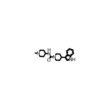 CN1CCC(NC(=O)N2CCC(c3c[nH]c4ccccc34)CC2)CC1